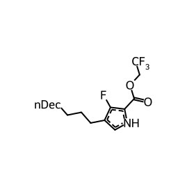 CCCCCCCCCCCCCc1c[nH]c(C(=O)OCC(F)(F)F)c1F